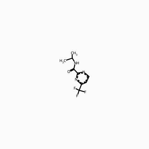 CC(C)NC(=O)c1nccc(C(F)(F)F)n1